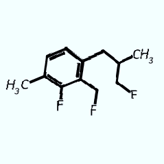 Cc1ccc(CC(C)CF)c(CF)c1F